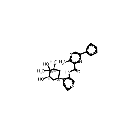 C[C@H]1C[C@@H](c2ccncc2NC(=O)c2nc(-c3ccccc3)cnc2N)C[C@@H](O)[C@]1(C)O